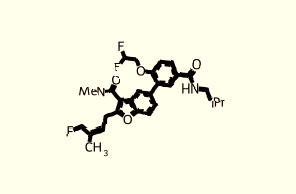 CNC(=O)c1c(CC=C(C)CF)oc2ccc(-c3cc(C(=O)NCC(C)C)ccc3OCC(F)F)cc12